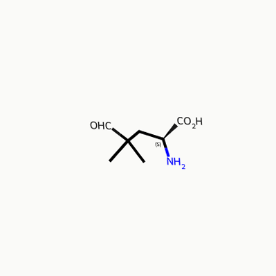 CC(C)(C=O)C[C@H](N)C(=O)O